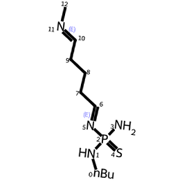 CCCCNP(N)(=S)/N=C/CCC/C=N/C